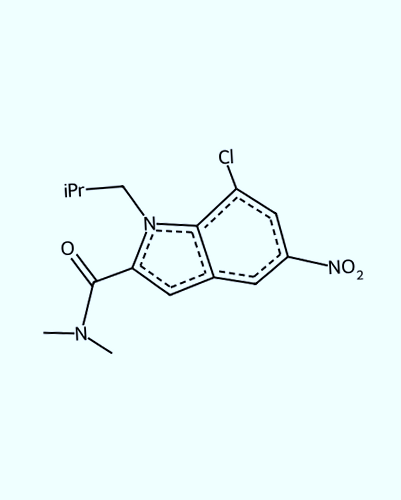 CC(C)Cn1c(C(=O)N(C)C)cc2cc([N+](=O)[O-])cc(Cl)c21